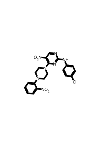 O=[N+]([O-])c1ccccc1N1CCN(c2nc(Nc3ccc(Cl)cc3)ncc2[N+](=O)[O-])CC1